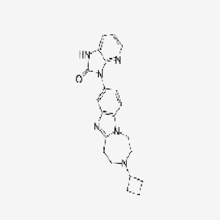 O=c1[nH]c2cccnc2n1-c1ccc2c(c1)nc1n2CCN(C2CCC2)CC1